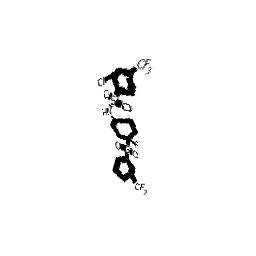 O=S(=O)(N[C@H]1CC[C@@](F)(S(=O)(=O)c2cccc(C(F)(F)F)c2)CC1)c1ccc(C(F)(F)F)cc1Cl